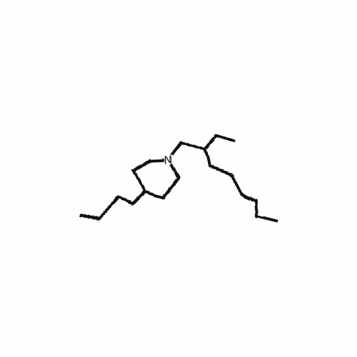 CCCCCCC(CC)CN1CCC(CCCC)CC1